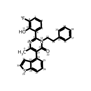 Cc1nc(-c2cccc(F)c2O)n(CCc2ccccc2)c(=O)c1-c1cccc2sccc12